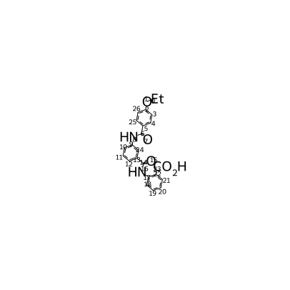 CCOc1ccc(C(=O)Nc2cccc(C(=O)Nc3ccccc3C(=O)O)c2)cc1